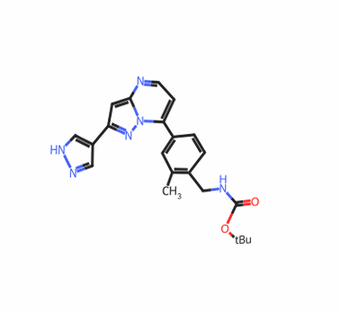 Cc1cc(-c2ccnc3cc(-c4cn[nH]c4)nn23)ccc1CNC(=O)OC(C)(C)C